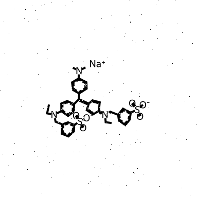 CCN(Cc1cccc(S(=O)(=O)[O-])c1)c1ccc(C(=C2C=CC(=[N+](CC)Cc3cccc(S(=O)(=O)[O-])c3)C=C2)c2ccc(N(C)C)cc2)cc1.[Na+]